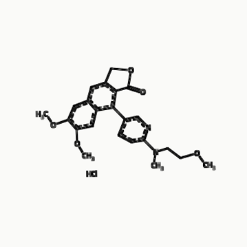 COCCN(C)c1ccc(-c2c3c(cc4cc(OC)c(OC)cc24)COC3=O)cn1.Cl